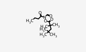 CCCC(=O)N(C=O)OC(=O)C(C)(C)CC(C)(C)C